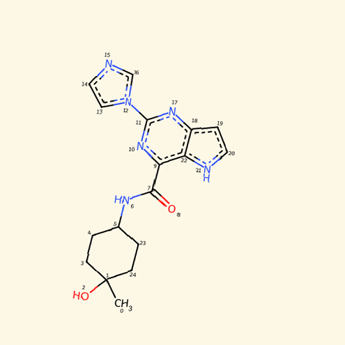 CC1(O)CCC(NC(=O)c2nc(-n3ccnc3)nc3cc[nH]c23)CC1